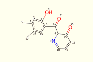 Cc1cc(O)c(C(=O)C2N=CC=CC2=O)cc1C